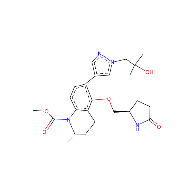 COC(=O)N1c2ccc(-c3cnn(CC(C)(C)O)c3)c(OC[C@H]3CCC(=O)N3)c2CC[C@@H]1C